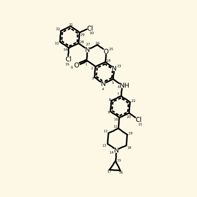 O=C1c2cnc(Nc3ccc(C4CCN(C5CC5)CC4)c(Cl)c3)nc2OCN1c1c(Cl)cccc1Cl